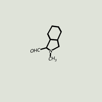 CN1CC2CCCCC2C1C=O